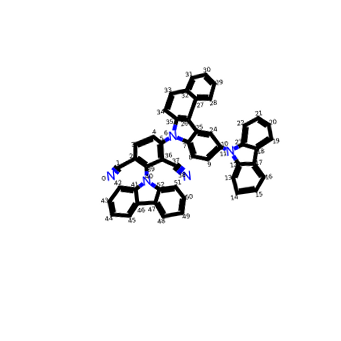 N#Cc1ccc(-n2c3ccc(-n4c5ccccc5c5ccccc54)cc3c3c4ccccc4ccc32)c(C#N)c1-n1c2ccccc2c2ccccc21